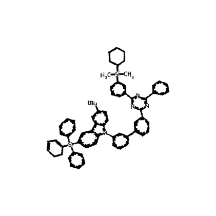 CC(C)(C)c1ccc2c(c1)c1cc([Si](C3=CC=CCC3)(c3ccccc3)c3ccccc3)ccc1n2-c1cccc(-c2cccc(-c3nc(-c4ccccc4)nc(-c4cccc([Si](C)(C)C5CCCCC5)c4)n3)c2)c1